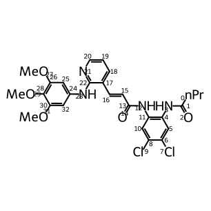 CCCC(=O)Nc1cc(Cl)c(Cl)cc1NC(=O)/C=C/c1cccnc1Nc1cc(OC)c(OC)c(OC)c1